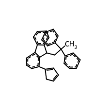 CC(CC1c2ccccc2-c2cccc(C3=CC=CC3)c21)(c1ccccc1)c1ccccc1